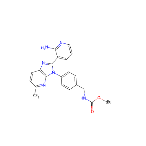 CC(C)(C)OC(=O)NCc1ccc(-n2c(-c3cccnc3N)nc3ccc(C(F)(F)F)nc32)cc1